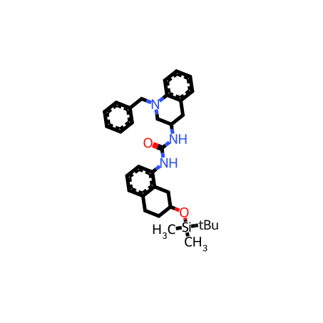 CC(C)(C)[Si](C)(C)OC1CCc2cccc(NC(=O)NC3Cc4ccccc4N(Cc4ccccc4)C3)c2C1